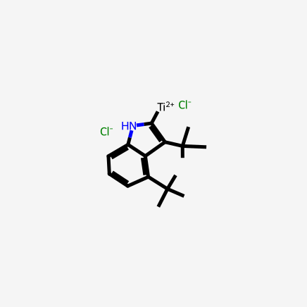 CC(C)(C)c1cccc2[nH][c]([Ti+2])c(C(C)(C)C)c12.[Cl-].[Cl-]